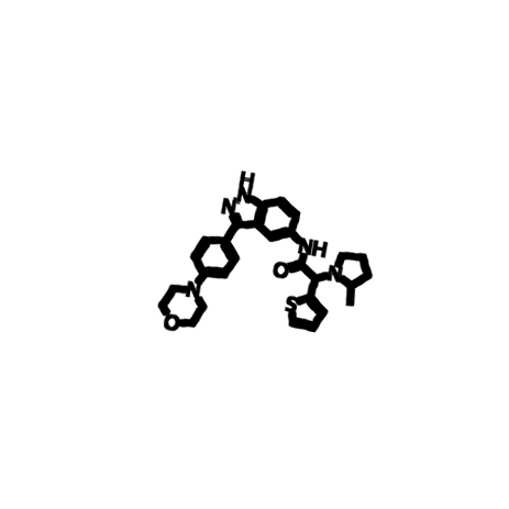 CC1CCCN1C(C(=O)Nc1ccc2[nH]nc(-c3ccc(N4CCOCC4)cc3)c2c1)c1cccs1